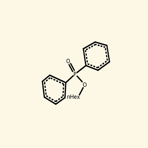 CCCCCCOP(=O)(c1ccccc1)c1ccccc1